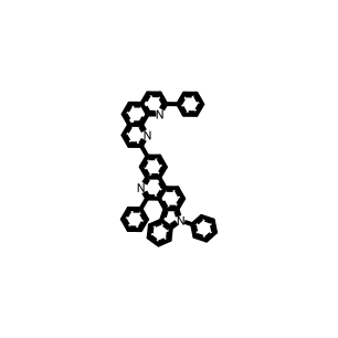 c1ccc(-c2ccc3ccc4ccc(-c5ccc6c(c5)nc(-c5ccccc5)c5c6ccc6c5c5ccccc5n6-c5ccccc5)nc4c3n2)cc1